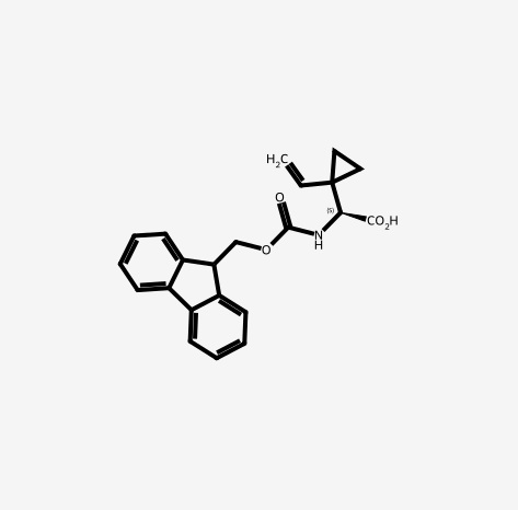 C=CC1([C@H](NC(=O)OCC2c3ccccc3-c3ccccc32)C(=O)O)CC1